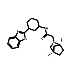 O=C(CN1C[C@@H]2CC[C@H]1C2)NC1CCCC(c2nc3ccccc3[nH]2)C1